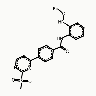 CC(C)(C)ONc1ccccc1NC(=O)c1ccc(-c2ccnc(S(C)(=O)=O)n2)cc1